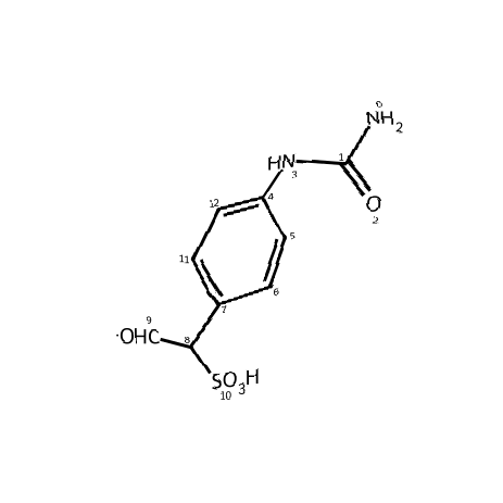 NC(=O)Nc1ccc(C([C]=O)S(=O)(=O)O)cc1